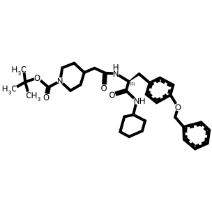 CC(C)(C)OC(=O)N1CCC(CC(=O)N[C@@H](Cc2ccc(OCc3ccccc3)cc2)C(=O)NC2CCCCC2)CC1